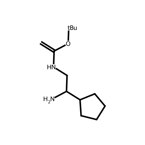 C=C(NCC(N)C1CCCC1)OC(C)(C)C